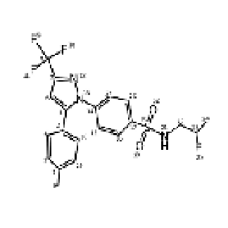 Cc1ccc(-c2cc(C(F)(F)F)nn2-c2ccc(S(=O)(=O)NCC(C)F)cc2)cc1